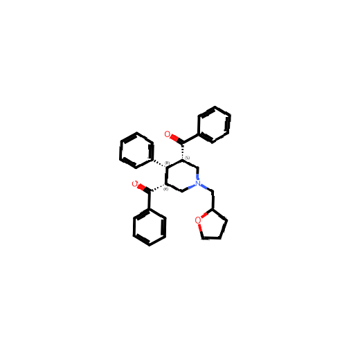 O=C(c1ccccc1)[C@H]1CN(CC2CCCO2)C[C@@H](C(=O)c2ccccc2)[C@H]1c1ccccc1